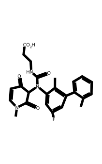 Cc1ccccc1-c1cc(F)cc(N(C(=O)NCCC(=O)O)C2C(=O)C=CN(C)C2=O)c1C